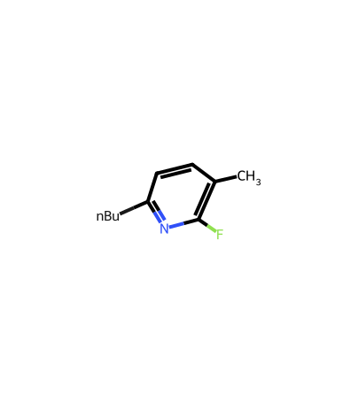 CCCCc1ccc(C)c(F)n1